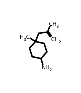 C=C(C)CC1(C)CCC(N)CC1